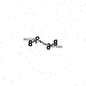 C=CC(/C=C/c1c(OC)c(OC)cc2ccccc12)=C1/C=CC=C/C1=N\CCSSCC[n+]1ccc(/C=C/c2c(OC)c(OC)cc3ccccc23)c2ccccc21